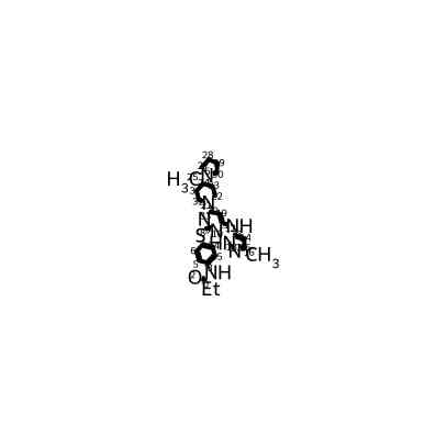 CCC(=O)Nc1ccc(Sc2nc(Nc3cc(C)n[nH]3)cc(N3CCC(C)(N4CCCC4)CC3)n2)cc1